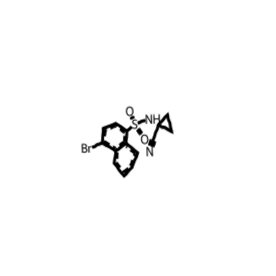 N#CC1(NS(=O)(=O)c2ccc(Br)c3ccccc23)CC1